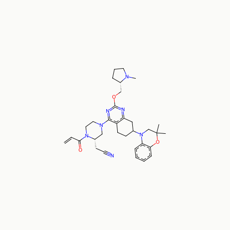 C=CC(=O)N1CCN(c2nc(OC[C@@H]3CCCN3C)nc3c2CCC(N2CC(C)(C)Oc4ccccc42)C3)C[C@@H]1CC#N